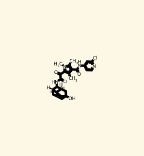 Cc1c(C(=O)Nc2ccnc(Cl)c2)c(C)n(C)c1C(=O)C(=O)NC1[C@@H]2CC3C[C@H]1CC(O)(C3)C2